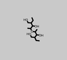 CCC(CO)C(O)C(C)OC(C)C(O)C(CC)CO